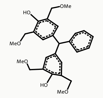 COCc1cc(C(c2ccccc2)c2cc(COC)c(O)c(COC)c2)cc(COC)c1O